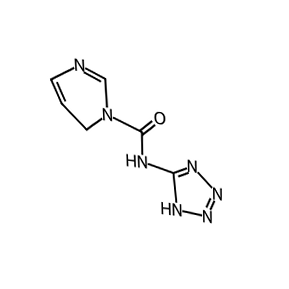 O=C(Nc1nnn[nH]1)N1C=NC=CC1